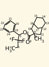 CCC(F)(F)C(OC(=O)C1(C)CC2CCCC(C2)C1)c1ccccc1